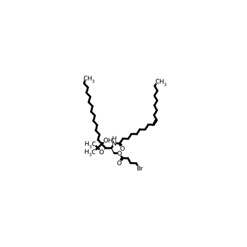 CCCCCCCC/C=C\CCCCCCCC(=O)N[C@@H](COC(=O)CCCBr)[C@@H]1OC(C)(C)C1(O)CCCCCCCCCCCCCC